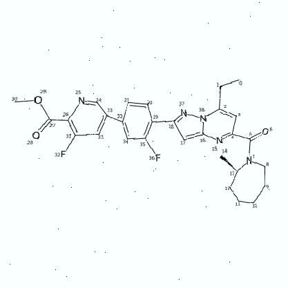 CCc1cc(C(=O)N2CCCCC[C@H]2C)nc2cc(-c3ccc(-c4cnc(C(=O)OC)c(F)c4)cc3F)nn12